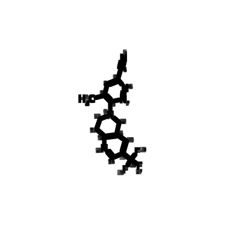 Cc1cc(C#N)nnc1N1CCc2ncc(C(F)(F)F)cc2C1